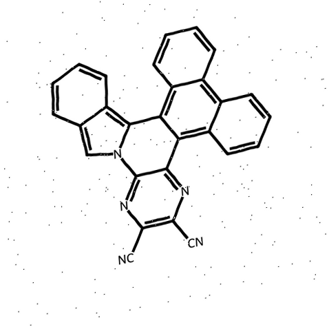 N#Cc1nc2c3c4ccccc4c4ccccc4c3c3c4ccccc4cn3c2nc1C#N